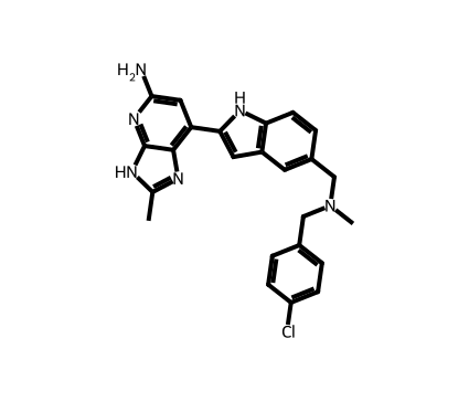 Cc1nc2c(-c3cc4cc(CN(C)Cc5ccc(Cl)cc5)ccc4[nH]3)cc(N)nc2[nH]1